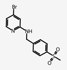 CS(=O)(=O)c1ccc(CNc2cc(Br)ccn2)cc1